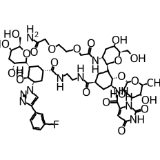 C[C@@H]1O[C@@H](O[C@H]2C([C@@H]3O[C@H](CO)[C@H](O)C[C@H]3NC(=O)COCCOCC(N)=O)C[C@H](C(=O)NCCNC(=O)[C@H]3C[C@@H](C4O[C@H](CO)[C@H](O)C[C@H]4O)[C@H](O)[C@@H](n4cc(-c5cccc(F)c5)nn4)C3)C[C@@H]2NC(=O)c2cc(=O)[nH]c(=O)[nH]2)[C@@H](O)C[C@@H]1O